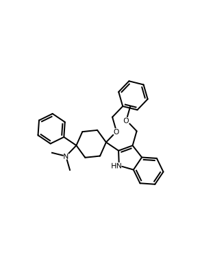 COCc1c(C2(OCc3ccccc3)CCC(c3ccccc3)(N(C)C)CC2)[nH]c2ccccc12